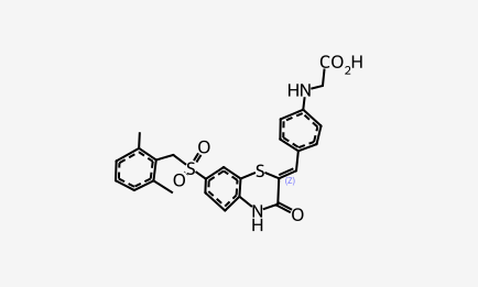 Cc1cccc(C)c1CS(=O)(=O)c1ccc2c(c1)S/C(=C\c1ccc(NCC(=O)O)cc1)C(=O)N2